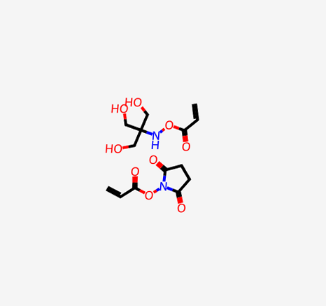 C=CC(=O)ON1C(=O)CCC1=O.C=CC(=O)ONC(CO)(CO)CO